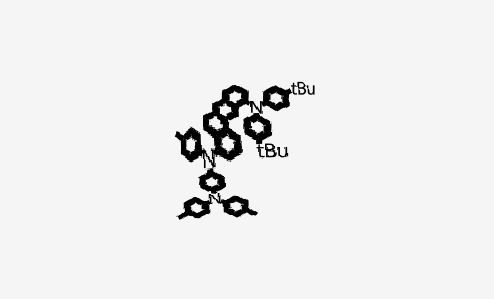 Cc1ccc(N(c2ccc(C)cc2)c2ccc(N(c3ccc(C)cc3)c3cccc4c3ccc3cc5cccc(N(c6ccc(C(C)(C)C)cc6)c6ccc(C(C)(C)C)cc6)c5cc34)cc2)cc1